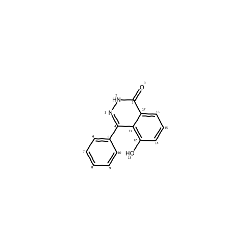 O=c1[nH]nc(-c2ccccc2)c2c(O)cccc12